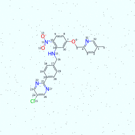 Cc1ccc(COc2ccc([N+](=O)[O-])c(NCc3ccc(-c4ncc(Cl)cn4)cc3)c2)nc1